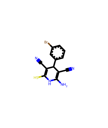 N#CC1=C(N)NC(S)=C(C#N)C1c1cccc(Br)c1